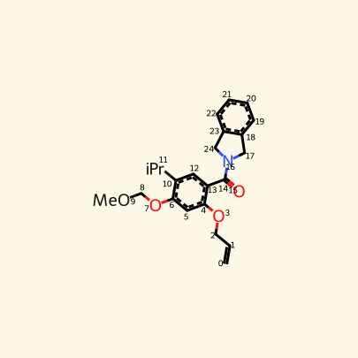 C=CCOc1cc(OCOC)c(C(C)C)cc1C(=O)N1Cc2ccccc2C1